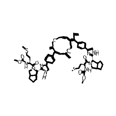 C=C/C(=C1\C=C/CCCC(=C)/C(c2ccc(-c3c[nH]c([C@@H]4C5CCCC5CN4C(=O)[C@H](CCSC)NC(=O)OC)n3)cc2)=C\C(=C)CC1)c1ccc(-c2c[nH]c([C@@H]3C4CCCC4CN3C(=O)[C@H](CCSC)NC(=O)OC)n2)cc1